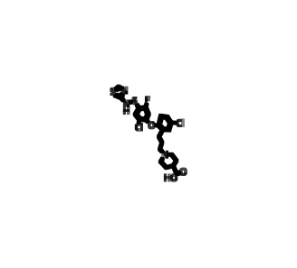 O=C(O)C1CCN(CCCc2cc(Cl)ccc2Oc2cc(F)c(SNc3cscn3)cc2Cl)CC1